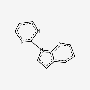 c1cnc(-n2ccc3cccnc32)nc1